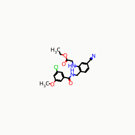 CCOC(=O)CNc1cc(C#N)ccc1CNC(=O)c1cc(Cl)cc(OC)c1